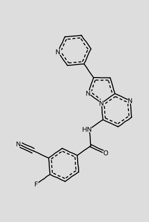 N#Cc1cc(C(=O)Nc2ccnc3cc(-c4cccnc4)nn23)ccc1F